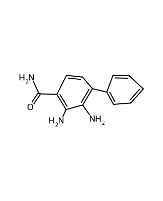 NC(=O)c1ccc(-c2ccccc2)c(N)c1N